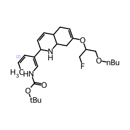 C/C=C\C(=CNC(=O)OC(C)(C)C)C1C=CC2CC=C(OC(CF)COCCCC)CC2N1